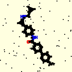 CCCc1ccc(-c2ccc(C(=O)Nc3ccc(C4CC4NCC4CC4)cc3)cc2)cc1